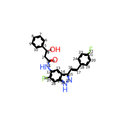 O=C(C[C@@H](O)c1ccccc1)Nc1cc2c(C=Cc3ccc(F)cc3)n[nH]c2cc1F